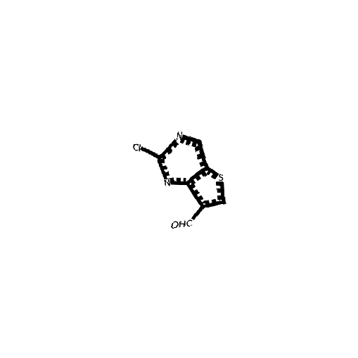 O=Cc1csc2cnc(Cl)nc12